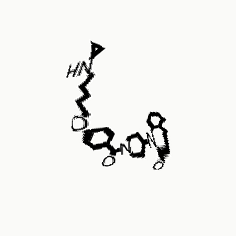 O=C(c1ccc(OCCCCCNC2CC2)cc1)N1CCC(N2C(=O)CCc3ccccc32)CC1